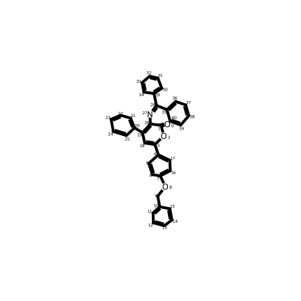 O=c1oc(-c2ccc(OCc3ccccc3)cc2)cc(-c2ccccc2)c1N=C(c1ccccc1)c1ccccc1